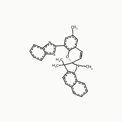 Cc1cc2c(c(-c3nc4ccccc4s3)c1)O[C@]1(C=C2)N(C)c2c(ccc3ccccc23)C1(C)C